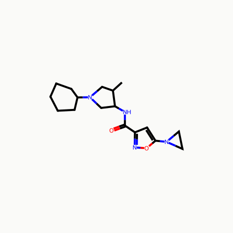 CC1CN(C2CCCCC2)CC1NC(=O)c1cc(N2CC2)on1